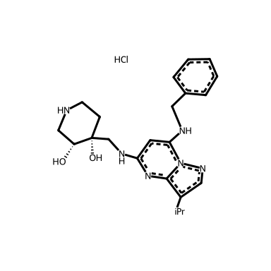 CC(C)c1cnn2c(NCc3ccccc3)cc(NC[C@]3(O)CCNC[C@H]3O)nc12.Cl